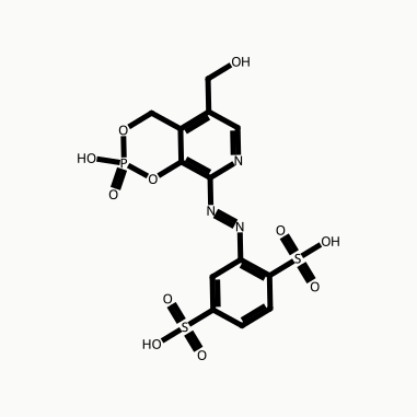 O=P1(O)OCc2c(CO)cnc(N=Nc3cc(S(=O)(=O)O)ccc3S(=O)(=O)O)c2O1